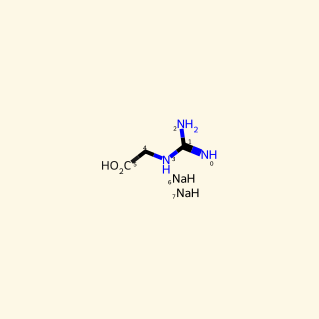 N=C(N)NCC(=O)O.[NaH].[NaH]